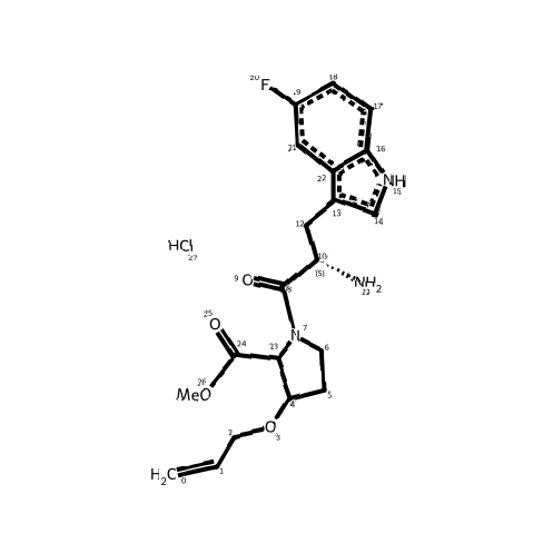 C=CCOC1CCN(C(=O)[C@@H](N)Cc2c[nH]c3ccc(F)cc23)C1C(=O)OC.Cl